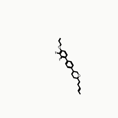 C/C=C/CCC1CCC(c2ccc(-c3ccc(OCCC)c(F)c3F)cc2)CO1